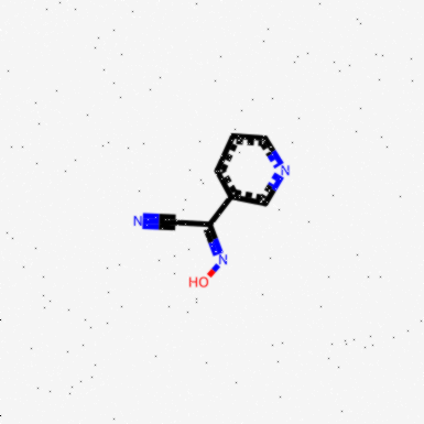 N#CC(=NO)c1cccnc1